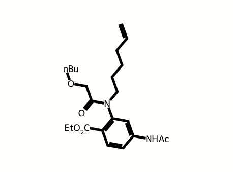 C=CCCCCN(C(=O)COCCCC)c1cc(NC(C)=O)ccc1C(=O)OCC